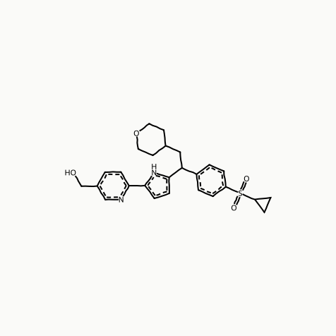 O=S(=O)(c1ccc(C(CC2CCOCC2)c2ccc(-c3ccc(CO)cn3)[nH]2)cc1)C1CC1